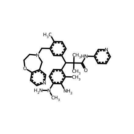 Cc1ccc(C(c2ccc(N(C)N)c(N)c2C)C(C)(C)C(=O)Nc2cccnc2)cc1CN1CCOc2ccncc2C1